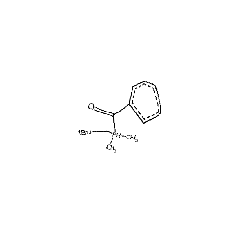 CC(C)(C)[PH](C)(C)C(=O)c1ccccc1